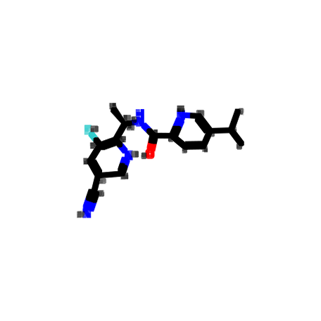 CC(C)c1ccc(C(=O)N[C@H](C)c2ncc(C#N)cc2F)nc1